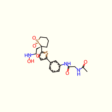 CC(=O)NCC(=O)Nc1cccc(-c2ccc([C@@]3(CC(=O)NO)CCCCS3(=O)=O)s2)c1